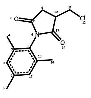 Cc1cc(C)c(N2C(=O)CC(CCl)C2=O)c(C)c1